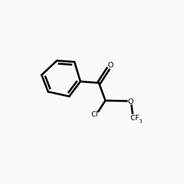 O=C(c1ccccc1)C(Cl)OC(F)(F)F